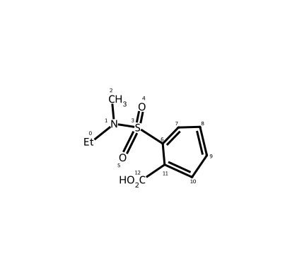 CCN(C)S(=O)(=O)c1ccccc1C(=O)O